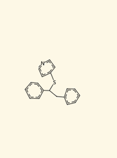 c1ccc(CC(Sc2ccncc2)c2ccccc2)cc1